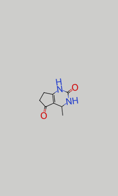 CC1NC(=O)NC2=C1C(=O)CC2